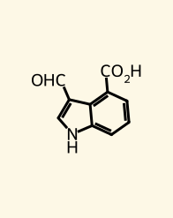 O=Cc1c[nH]c2cccc(C(=O)O)c12